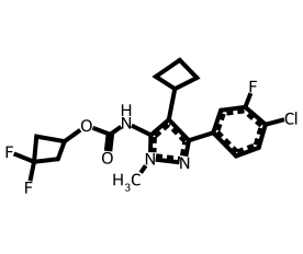 Cn1nc(-c2ccc(Cl)c(F)c2)c(C2CCC2)c1NC(=O)OC1CC(F)(F)C1